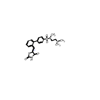 CN(C)CCN(C)S(=O)(=O)c1ccc(-c2ccccc2/C=C2\SC(=O)NC2=O)cc1